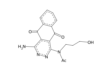 CC(=O)N(CCCO)c1nnc(N)c2c1C(=O)c1ccccc1C2=O